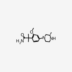 COc1cc(N2CCN[C@H](C)C2)ccc1C(C)(C)C(N)=O